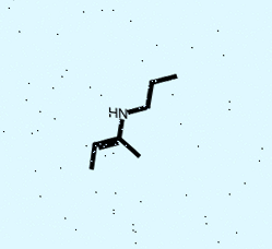 C/C=C(\C)NCCC